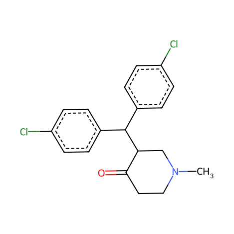 CN1CCC(=O)C(C(c2ccc(Cl)cc2)c2ccc(Cl)cc2)C1